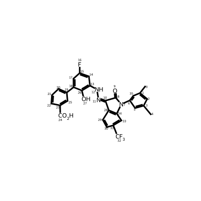 Cc1cc(C)cc(N2C(=O)C(=NNc3cc(F)cc(-c4cccc(C(=O)O)c4)c3O)c3ccc(C(F)(F)F)cc32)c1